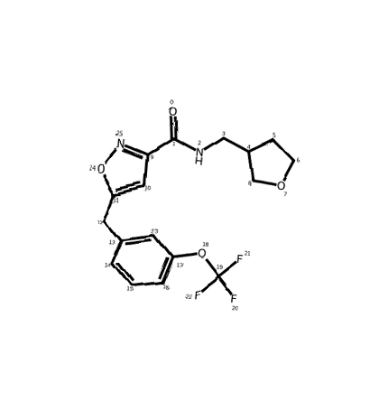 O=C(NCC1CCOC1)c1cc(Cc2cccc(OC(F)(F)F)c2)on1